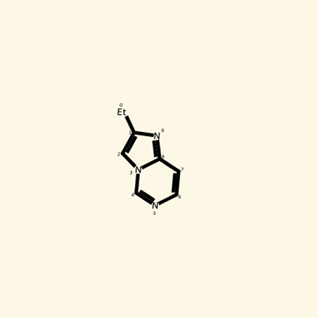 CCc1cn2cnccc2n1